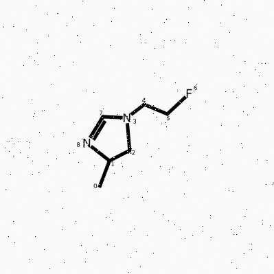 CC1[C]N(CCF)[C]=N1